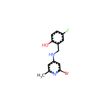 Cc1cc(NCc2cc(F)ccc2O)cc(Br)n1